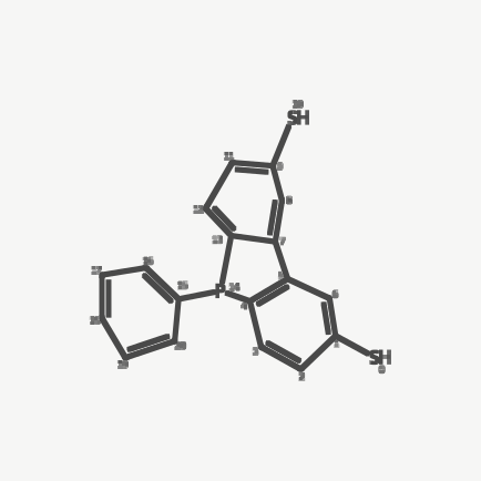 Sc1ccc2c(c1)c1cc(S)ccc1p2-c1ccccc1